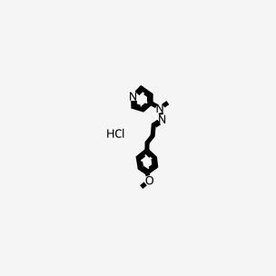 COc1ccc(CCC=NN(C)c2ccncc2)cc1.Cl